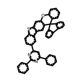 c1ccc(-c2cc(-c3ccc4sc5cc6c(cc5c4c3)C3(c4ccccc4O6)c4ccccc4-c4ccccc43)nc(-c3ccccc3)n2)cc1